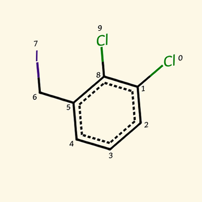 Clc1cccc(CI)c1Cl